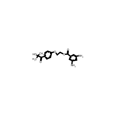 CC(C)(O)C(=O)c1ccc(OCCOC(=O)c2cc(N)cc(N)c2)cc1